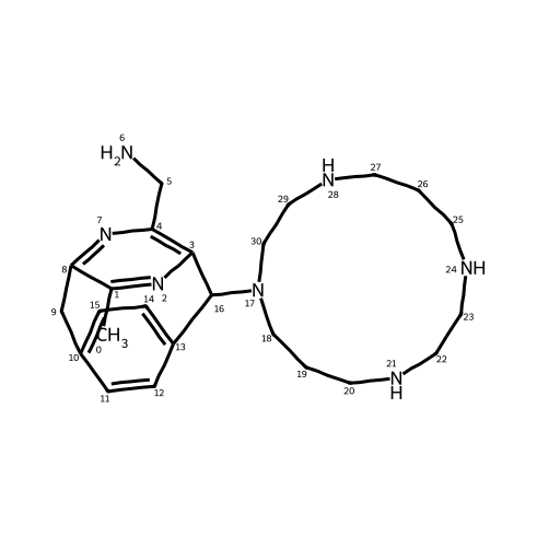 Cc1nc2c(CN)nc1Cc1ccc(cc1)C2N1CCCNCCNCCCNCC1